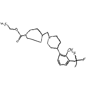 CCOC(=O)N1CCC(CN2CCC(c3cccc(C(F)(F)F)c3C)CC2)CC1